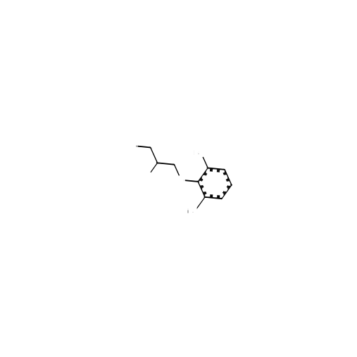 CCC(C)c1cccc(C(C)CC)c1OCC(O)[CH]O